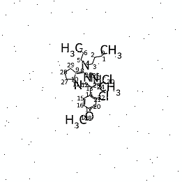 CCCCN(CCC)c1c2c(nc3c(-c4ccc(OC)cc4Cl)c(C)nn13)CCC2.Cl